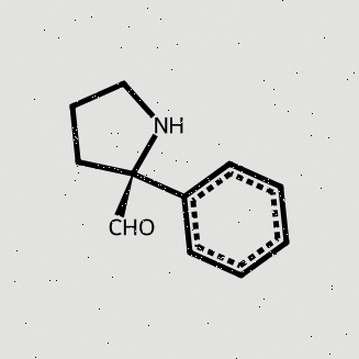 O=C[C@@]1(c2ccccc2)CCCN1